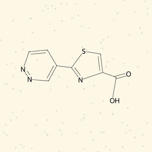 O=C(O)c1csc(-c2ccnnc2)n1